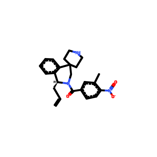 C=CC[C@@H]1c2ccccc2C2(CCNCC2)CN1C(=O)c1ccc([N+](=O)[O-])c(C)c1